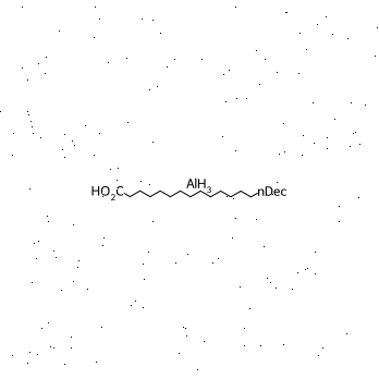 CCCCCCCCCCCCCCCCCCCCCCCC(=O)O.[AlH3]